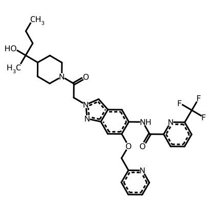 CCCC(C)(O)C1CCN(C(=O)Cn2cc3cc(NC(=O)c4cccc(C(F)(F)F)n4)c(OCc4ccccn4)cc3n2)CC1